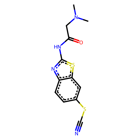 CN(C)CC(=O)Nc1nc2ccc(SC#N)cc2s1